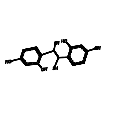 Oc1ccc(C(S)C(S)c2ccc(O)cc2O)c(O)c1